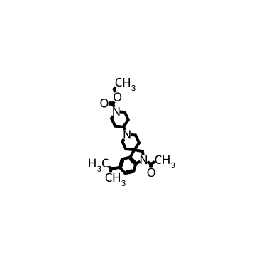 CCOC(=O)N1CCC(N2CCC3(CC2)CN(C(C)=O)c2ccc(C(C)C)cc23)CC1